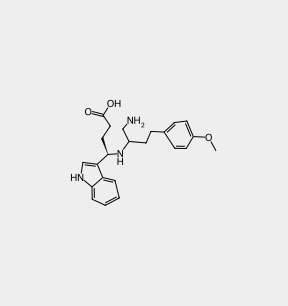 COc1ccc(CCC(CN)N[C@H](CCC(=O)O)c2c[nH]c3ccccc23)cc1